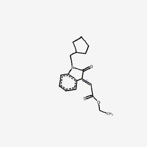 CCOC(=O)/C=C1/C(=O)N(CC2CCCC2)c2ccccc21